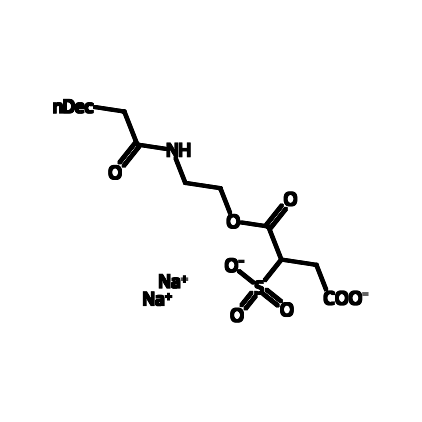 CCCCCCCCCCCC(=O)NCCOC(=O)C(CC(=O)[O-])S(=O)(=O)[O-].[Na+].[Na+]